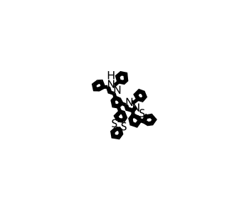 C1=C(c2ccccc2)NC(c2ccccc2)N=C1c1ccc(-c2ccc3c(c2)Sc2ccccc2S3)c(-c2cc(-c3cccc4c3sc3ccccc34)nc(-c3ccccc3)n2)c1